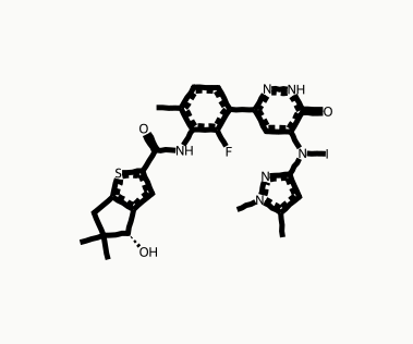 Cc1ccc(-c2cc(N(I)c3cc(C)n(C)n3)c(=O)[nH]n2)c(F)c1NC(=O)c1cc2c(s1)CC(C)(C)[C@H]2O